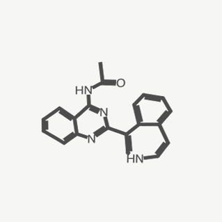 CC(=O)Nc1nc(C2=CNC=Cc3ccccc32)nc2ccccc12